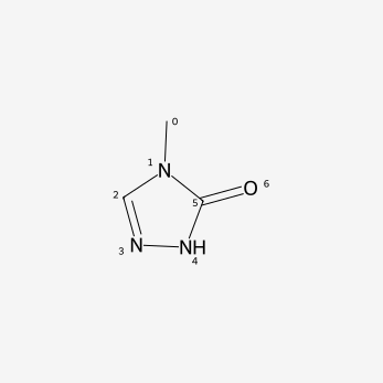 Cn1cn[nH]c1=O